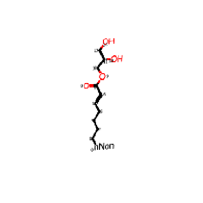 CCCCCCCCCCCCCC=CC(=O)OC[C@H](O)CO